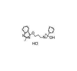 Cc1nc(OCCCN2CC(O)(c3ccccc3)C2)c2ccccc2n1.Cl